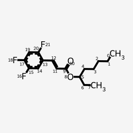 CCCCCC(CC)OC(=O)C=Cc1cc(F)c(F)cc1F